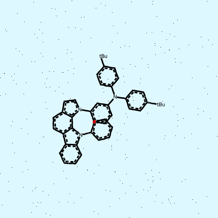 CC(C)(C)c1ccc(N(c2ccc(C(C)(C)C)cc2)c2cccc(-n3ccc4ccc5c6ccccc6n(-c6ccccc6)c5c43)c2)cc1